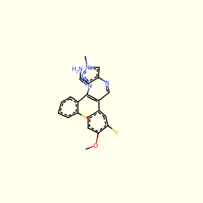 COc1ccc(C(/C=N\c2cnn(C)c2)=C(/N=C/N)c2ccccc2F)cc1F